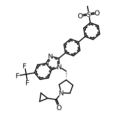 CS(=O)(=O)c1cccc(-c2ccc(-c3nc4cc(C(F)(F)F)ccc4n3C[C@@H]3CCN(C(=O)C4CC4)C3)cc2)c1